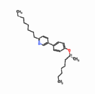 CCCCCCCCc1ccc(-c2ccc(O[C@H](C)CCCCCC)cc2)cn1